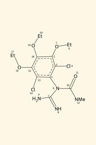 CCOc1c(Cl)c(N(C(=N)N)C(=O)NC)c(Cl)c(OCC)c1OCC